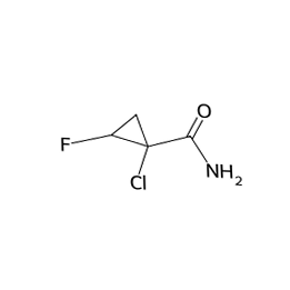 NC(=O)C1(Cl)CC1F